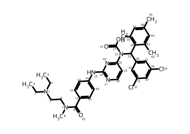 CCN(CC)CCN(C)C(=O)c1ccc(Nc2nccc(N(C(=O)O)C(c3cc(Cl)cc(Cl)c3)c3c(C)cc(C)cc3C)n2)cc1